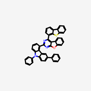 c1ccc(-c2ccc3c(c2)c2c(-c4nc(-c5cccc6c5sc5ccccc56)c5c(n4)oc4ccccc45)cccc2n3-c2ccccc2)cc1